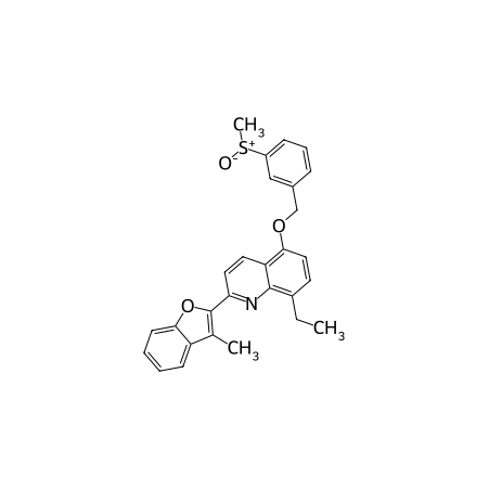 CCc1ccc(OCc2cccc([S+](C)[O-])c2)c2ccc(-c3oc4ccccc4c3C)nc12